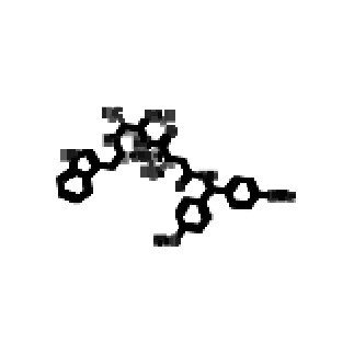 COc1ccc(C(NC(=O)C[C@H](N)C(=O)N[C@H](C(=O)O)[C@@H](C)N[C@@H](Cc2c[nH]c3ccccc23)C(=O)O)c2ccc(OC)cc2)cc1